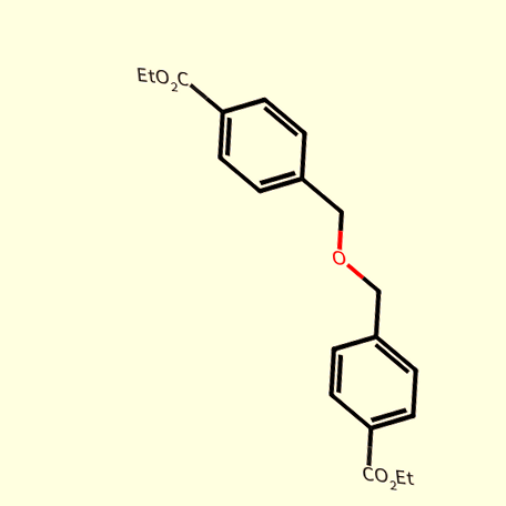 CCOC(=O)c1ccc(COCc2ccc(C(=O)OCC)cc2)cc1